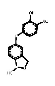 [C-]#[N+]c1ccc(Oc2ccc3c(c2)COB3O)cc1O